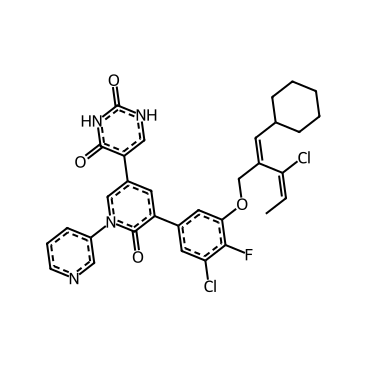 C/C=C(Cl)\C(=C/C1CCCCC1)COc1cc(-c2cc(-c3c[nH]c(=O)[nH]c3=O)cn(-c3cccnc3)c2=O)cc(Cl)c1F